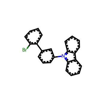 Brc1ccccc1-c1cccc(-n2c3ccccc3c3ccccc32)c1